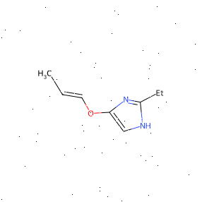 CC=COc1c[nH]c(CC)n1